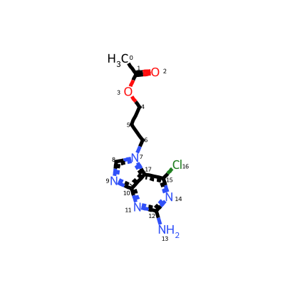 CC(=O)OCCCn1cnc2nc(N)nc(Cl)c21